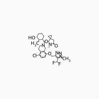 C[C@H]1[C@H](O)CCC[C@H]1C(=O)N1CCc2c(Cl)ccc(OCc3nnn(C)c3C(F)F)c2[C@H]1CN1CC2(CC2)CC1=O